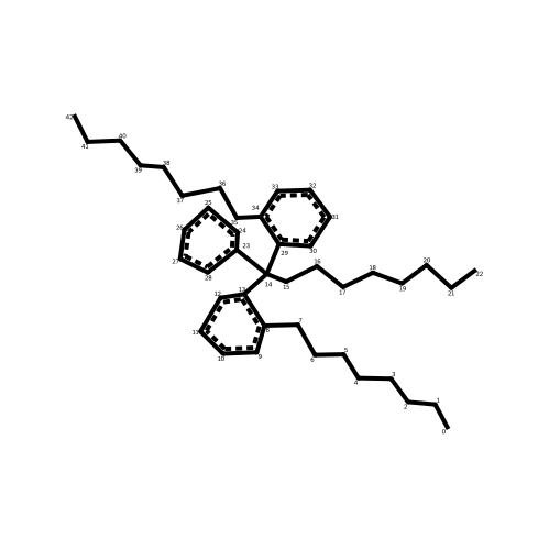 CCCCCCCCc1ccccc1C(CCCCCCCC)(c1[c]cccc1)c1ccccc1CCCCCCCC